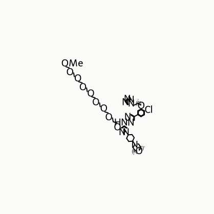 COCCOCCOCCOCCOCCOCCOCCOCCCOc1nn([C@H]2CC[C@H](N3C[C@@H](C)O[C@@H](C)C3)CC2)cc1Nc1ncc(-c2ccc(Cl)c(O[C@@H](C)Cn3cnnn3)c2)cn1